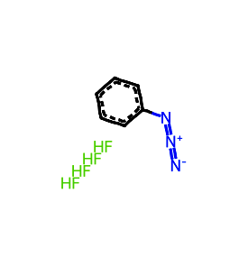 F.F.F.F.[N-]=[N+]=Nc1ccccc1